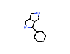 C1CCC(C2NCC3CNCC32)CC1